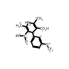 CC1=C(C(=O)O)C(c2cccc(OC(F)(F)F)c2)C([S+]([O-])C(C)C)=C(C)N1